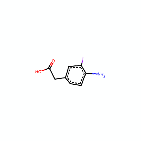 Nc1ccc(CC(=O)O)cc1I